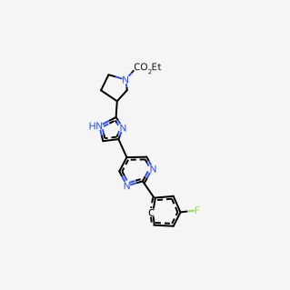 CCOC(=O)N1CCC(c2nc(-c3cnc(-c4cccc(F)c4)nc3)c[nH]2)C1